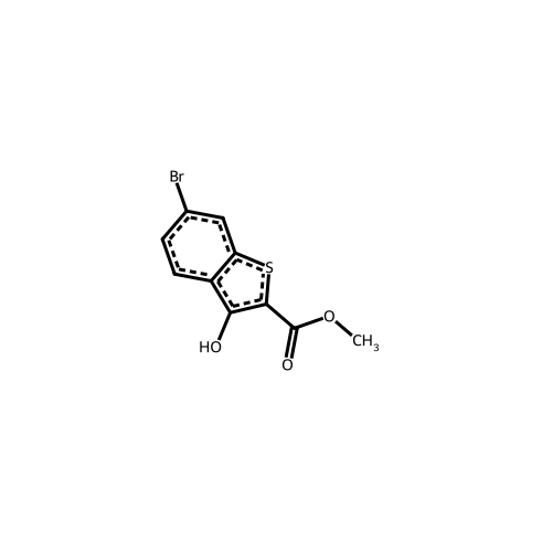 COC(=O)c1sc2cc(Br)ccc2c1O